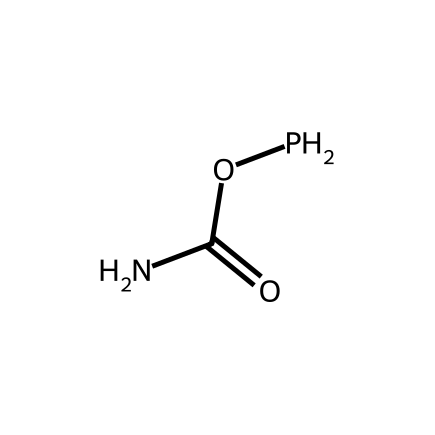 NC(=O)OP